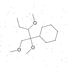 CCC(OC)C(COC)(OC)C1CCCCC1